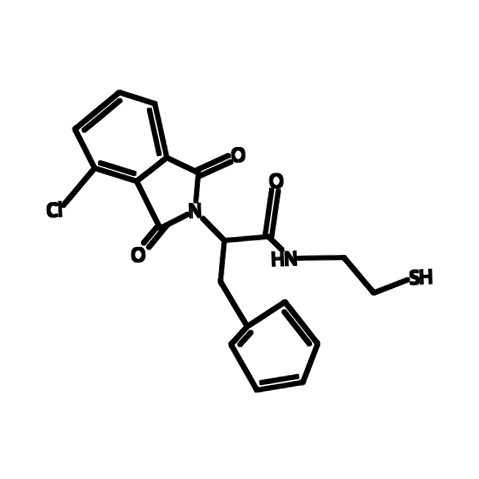 O=C(NCCS)C(Cc1ccccc1)N1C(=O)c2cccc(Cl)c2C1=O